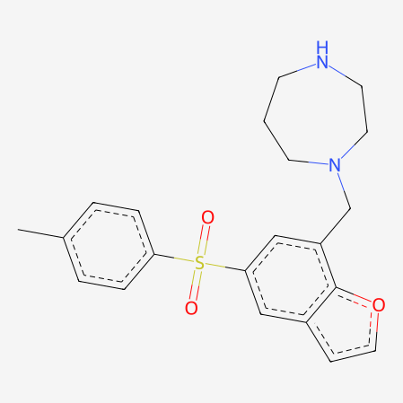 Cc1ccc(S(=O)(=O)c2cc(CN3CCCNCC3)c3occc3c2)cc1